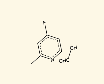 Cc1cc(F)ccn1.O=CO